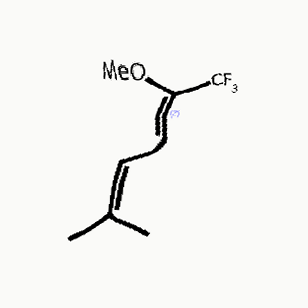 CO/C(=C\C=C(C)C)C(F)(F)F